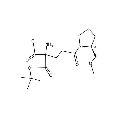 COC[C@@H]1CCCN1C(=O)CCC(N)(C(=O)O)C(=O)OC(C)(C)C